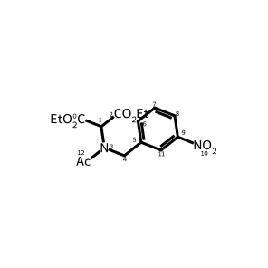 CCOC(=O)C(C(=O)OCC)N(Cc1cccc([N+](=O)[O-])c1)C(C)=O